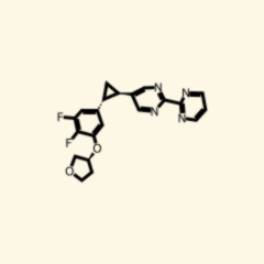 Fc1cc([C@@H]2C[C@H]2c2cnc(-c3ncccn3)nc2)cc(O[C@H]2CCOC2)c1F